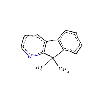 CC1(C)c2ccccc2-c2cccnc21